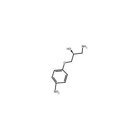 NC[C@H](O)COc1ccc([N+](=O)[O-])cc1